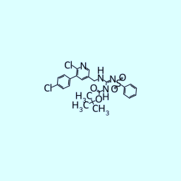 CC(C)(C)OC(=O)NC(=NS(=O)(=O)c1ccccc1)NCc1cnc(Cl)c(-c2ccc(Cl)cc2)c1